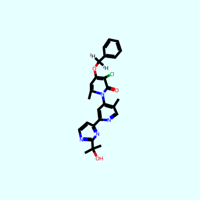 [2H]C([2H])(Oc1cc(C)n(-c2cc(-c3ccnc(C(C)(C)O)n3)ncc2C)c(=O)c1Cl)c1ccccc1